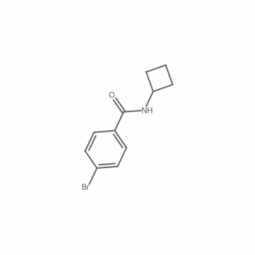 O=C(NC1CCC1)c1ccc(Br)cc1